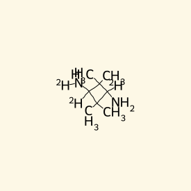 [2H]NC1([2H])C(C)(C)C([2H])(N)C1(C)C